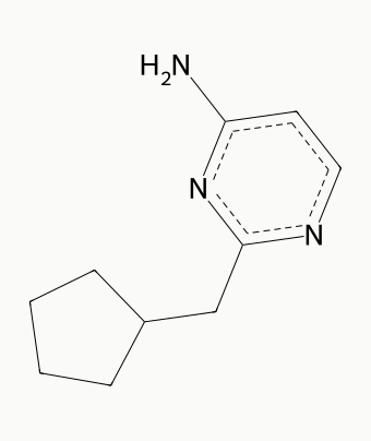 Nc1ccnc(CC2CCCC2)n1